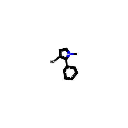 Cn1ccc(C#N)c1-c1ccccc1